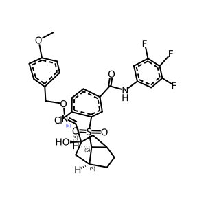 COc1ccc(CO/N=C/[C@]2(O)CC3CC[C@@H](C2)[C@H]3S(=O)(=O)c2cc(C(=O)Nc3cc(F)c(F)c(F)c3)ccc2Cl)cc1